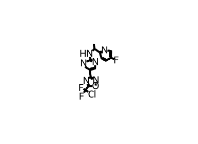 CC(Nc1ncc(-c2noc(C(F)(F)Cl)n2)cn1)c1ccc(F)cn1